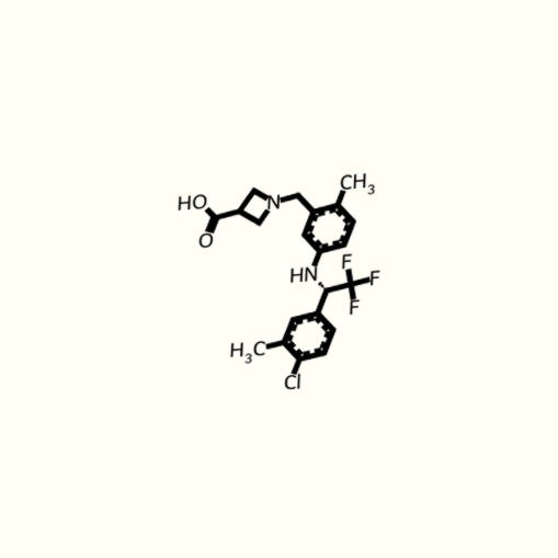 Cc1cc([C@H](Nc2ccc(C)c(CN3CC(C(=O)O)C3)c2)C(F)(F)F)ccc1Cl